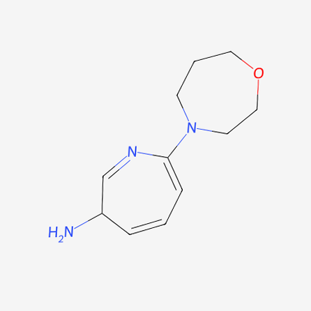 NC1C=CC=C(N2CCCOCC2)N=C1